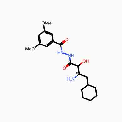 COc1cc(OC)cc(C(=O)NNC(=O)C(O)[C@H](N)CC2CCCCC2)c1